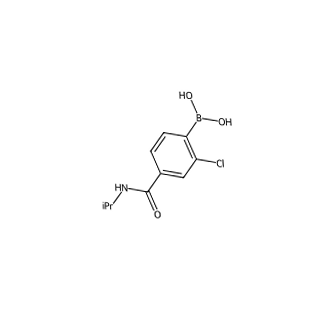 CC(C)NC(=O)c1ccc(B(O)O)c(Cl)c1